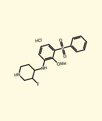 COc1c(NC2CCNCC2F)cccc1S(=O)(=O)c1ccccc1.Cl